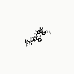 Cn1ccc(-c2cc(C(=O)Nc3cnc(CNC(=O)C4COCCN4)nc3-c3ccccc3)c(F)cc2C(F)(F)F)n1